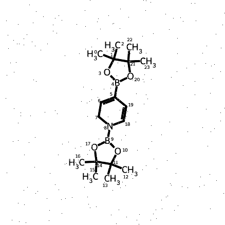 CC1(C)OB(C2=CCN(B3OC(C)(C)C(C)(C)O3)C=C2)OC1(C)C